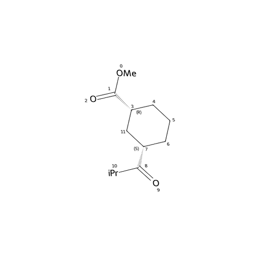 COC(=O)[C@@H]1CCC[C@H](C(=O)C(C)C)C1